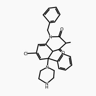 CC1C(=O)C2C(=CC(Cl)=CC2(c2ccccc2)N2CCNCC2)N(Cc2ccccc2)C1=O